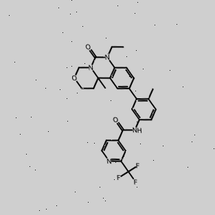 CCN1C(=O)N2COCCC2(C)c2cc(-c3cc(NC(=O)c4ccnc(C(F)(F)F)c4)ccc3C)ccc21